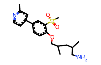 Cc1cc(-c2ccc(OCC(C)CC(C)CN)c(S(C)(=O)=O)c2)ccn1